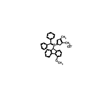 COc1cccc2c1-c1ccccc1[CH]2[Zr+2]([C]1=CC(C)=C(C)C1)=[C](c1ccccc1)c1ccccc1.[Cl-].[Cl-]